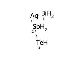 [Ag].[BiH3].[SbH2][TeH]